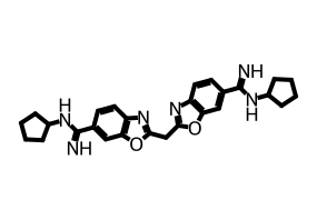 N=C(NC1CCCC1)c1ccc2nc(Cc3nc4ccc(C(=N)NC5CCCC5)cc4o3)oc2c1